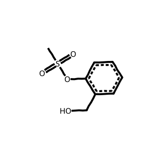 CS(=O)(=O)Oc1ccccc1CO